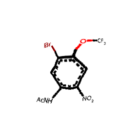 CC(=O)Nc1cc(Br)c(OC(F)(F)F)cc1[N+](=O)[O-]